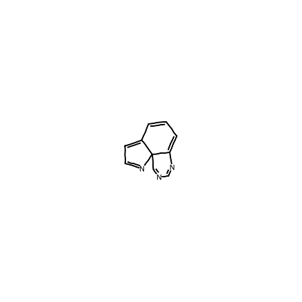 C1=CC2=CC=NC23C=NC=NC3=C1